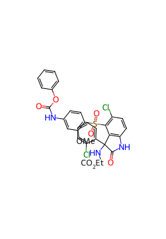 CCOC(=O)NC1(c2ccccc2Cl)C(=O)Nc2ccc(Cl)c(S(=O)(=O)c3ccc(NC(=O)Oc4ccccc4)cc3OC)c21